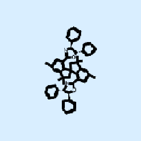 Cc1cc(C2=N[C@@H](c3ccccc3)[C@H](c3ccccc3)O2)c2c(c1)C(C)(C)CC21CC(C)(C)c2cc(C)cc(C3=N[C@@H](c4ccccc4)[C@H](c4ccccc4)O3)c21